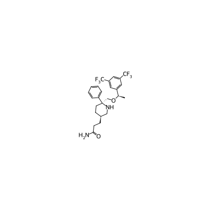 C[C@@H](OC[C@@]1(c2ccccc2)CC[C@H](CCC(N)=O)CN1)c1cc(C(F)(F)F)cc(C(F)(F)F)c1